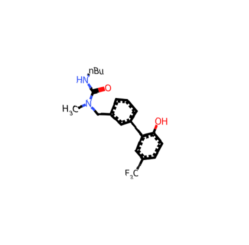 CCCCNC(=O)N(C)Cc1cccc(-c2cc(C(F)(F)F)ccc2O)c1